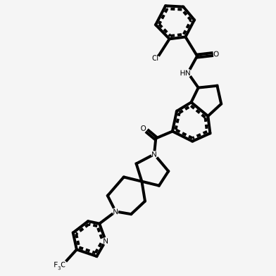 O=C(NC1CCc2ccc(C(=O)N3CCC4(CCN(c5ccc(C(F)(F)F)cn5)CC4)C3)cc21)c1ccccc1Cl